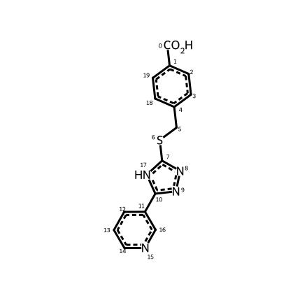 O=C(O)c1ccc(CSc2nnc(-c3cccnc3)[nH]2)cc1